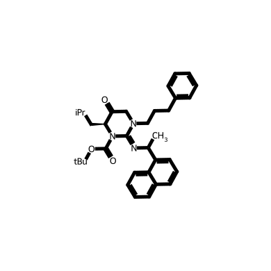 CC(C)C[C@H]1C(=O)CN(CCCc2ccccc2)C(=NC(C)c2cccc3ccccc23)N1C(=O)OC(C)(C)C